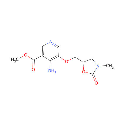 COC(=O)c1cncc(OCC2CN(C)C(=O)O2)c1N